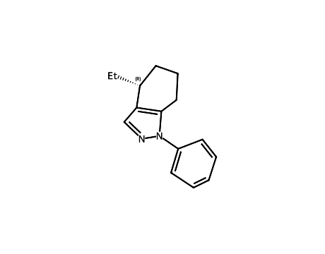 CC[C@@H]1CCCc2c1cnn2-c1ccccc1